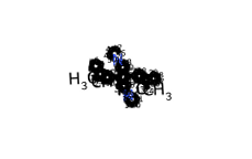 CC1(C)C2=C(C=CCC2)c2cc(-c3c4ccc(N5CCCCC5)cc4c(-c4ccc5c(c4)C(C)(C)C4C=CC=CC54)c4ccc(N5CCCCC5)cc34)ccc21